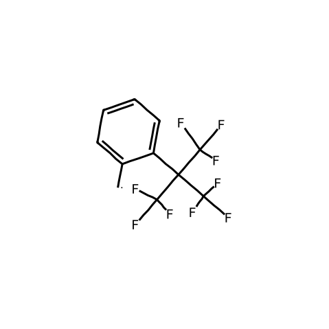 [CH2]c1ccccc1C(C(F)(F)F)(C(F)(F)F)C(F)(F)F